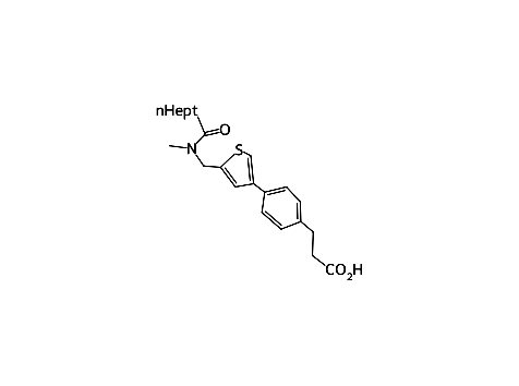 CCCCCCCC(=O)N(C)Cc1cc(-c2ccc(CCC(=O)O)cc2)cs1